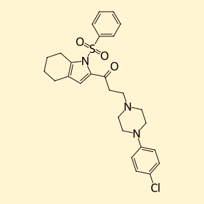 O=C(CCN1CCN(c2ccc(Cl)cc2)CC1)c1cc2c(n1S(=O)(=O)c1ccccc1)CCCC2